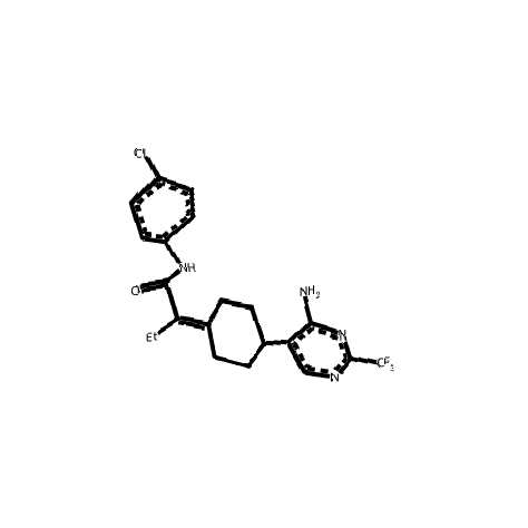 CCC(C(=O)Nc1ccc(Cl)cc1)=C1CCC(c2cnc(C(F)(F)F)nc2N)CC1